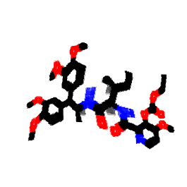 CCOC(=O)Oc1c(OC)ccnc1C(=O)N[C@H](C(=O)N[C@@H](C)C(c1ccc(OC)c(OC)c1)c1ccc(OC)c(OC)c1)[C@@H](C)CC